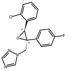 Fc1ccc([C@@]2(Cn3cncn3)O[C@H]2c2ccccc2Cl)cc1